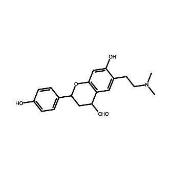 CN(C)CCc1cc2c(cc1O)OC(c1ccc(O)cc1)CC2C=O